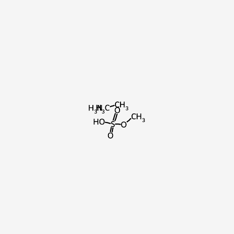 CC.COS(=O)(=O)O.N